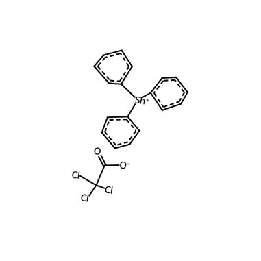 O=C([O-])C(Cl)(Cl)Cl.c1cc[c]([Sn+]([c]2ccccc2)[c]2ccccc2)cc1